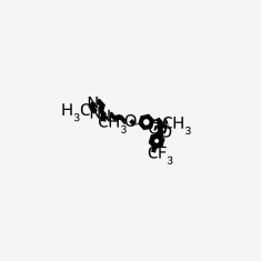 Cc1nccc(N(C)CC=CCOC[C@H]2CC[C@H](CN(C)S(=O)(=O)c3ccc(C(F)(F)F)cc3)CC2)n1